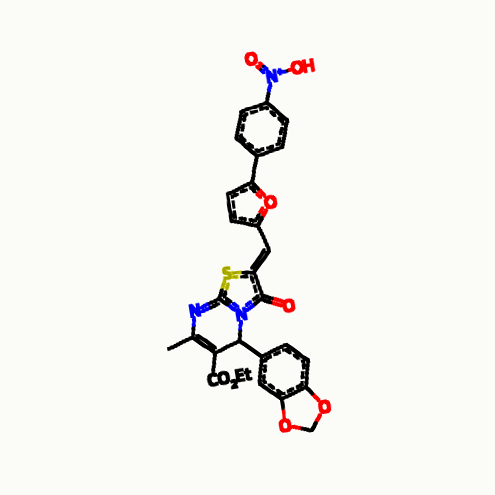 CCOC(=O)C1=C(C)N=c2s/c(=C\c3ccc(-c4ccc([N+](=O)O)cc4)o3)c(=O)n2C1c1ccc2c(c1)OCO2